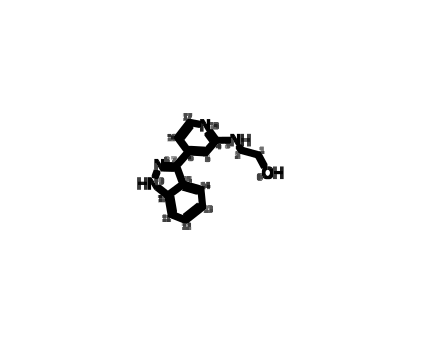 OCCNc1cc(-c2n[nH]c3ccccc23)ccn1